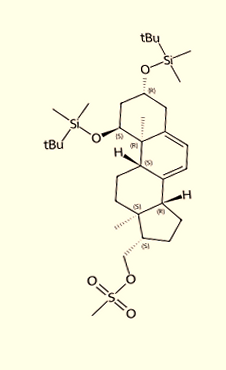 CC(C)(C)[Si](C)(C)O[C@@H]1CC2=CC=C3[C@@H]4CC[C@H](COS(C)(=O)=O)[C@@]4(C)CC[C@@H]3[C@@]2(C)[C@@H](O[Si](C)(C)C(C)(C)C)C1